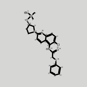 CC(C)(C)[Si](C)(C)O[C@@H]1CCN(c2ccc3c(NC(=O)CSc4ccccc4)c(Cl)ccc3n2)C1